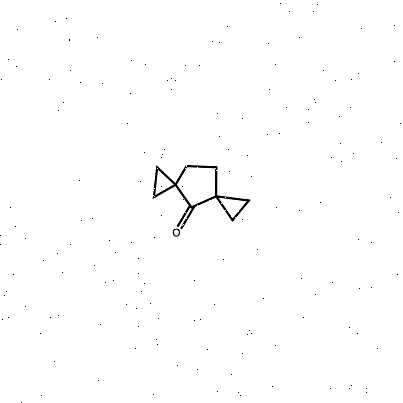 O=C1C2(CC2)CCC12CC2